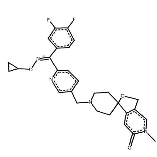 Cn1cc2c(cc1=O)C1(CCN(Cc3ccc(/C(=N\OC4CC4)c4ccc(F)c(F)c4)nc3)CC1)OC2